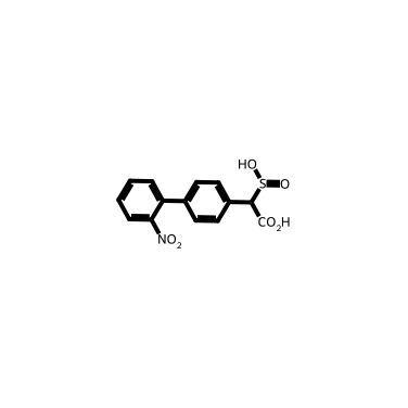 O=C(O)C(c1ccc(-c2ccccc2[N+](=O)[O-])cc1)S(=O)O